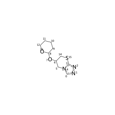 c1nnc2n1CC(OC1CCCCO1)CS2